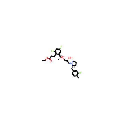 CCOC(=O)CCc1c(F)cc(F)cc1[C@@H](C)OC[C@H](O)CN1CCC[C@H]1Cc1ccc(C)c(F)c1